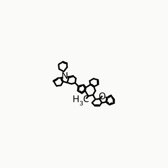 CC1c2ccc(C3CC=C4C(C3)C3=C(C=CCC3)N4C3CC=CCC3)cc2C2=C(C=CCC2)CC1C1CC=CC2c3ccccc3OC21